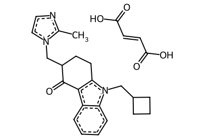 Cc1nccn1CC1CCc2c(c3ccccc3n2CC2CCC2)C1=O.O=C(O)C=CC(=O)O